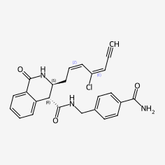 C#C/C=C(Cl)\C=C/C[C@@H]1NC(=O)c2ccccc2[C@H]1C(=O)NCc1ccc(C(N)=O)cc1